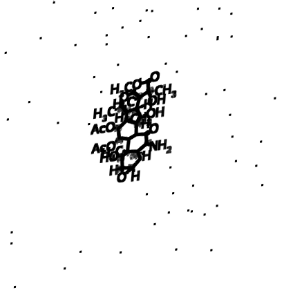 CC(=O)O[C@H]1C2C(C(=O)[C@@H](N)[C@H]3C[C@@H]4O[C@@H]4[C@H](O)[C@]23C)[C@@H]2[C@@H](O)[C@@H]3[C@H]([C@H](C)O[C@@]4(C)OC(=O)[C@@](C)(O)[C@]34C)[C@@]2(C)[C@H]1OC(C)=O